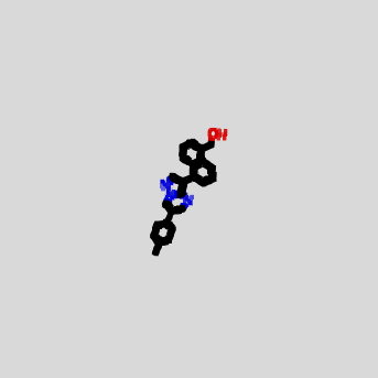 Cc1ccc(-c2cnc3c(-c4cccc5c(CO)cccc45)cnn3c2)cc1